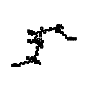 CCCCCCCCCCCCCCCC[N+](C)(C)CCOCCOC(=O)NCC(C)CCC(C)(C)CNC(=O)OCCOCC[N+](C)(C)CCCCCCCCCCCCCCCC.[Br-].[Br-]